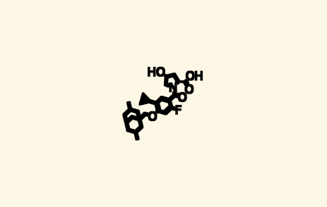 CC1CC2CC(C)CC(COc3cc(F)c(C(=O)N4C[C@@H](O)C[C@H]4C(=O)O)cc3C3CC3)(C1)C2